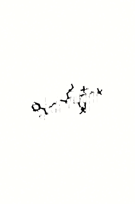 CCC(F)(F)CC(NC(=O)[C@@H]1C2[C@H](CN1C(=O)[C@@H](NC(=O)NC(C)(C)C)C(C)(C)C)C2(C)C)C(=O)C(=O)NCC(=O)N[C@H](C(=O)N(C)C)c1ccccc1